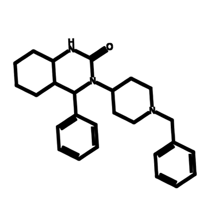 O=C1NC2CCCCC2C(c2ccccc2)N1C1CCN(Cc2ccccc2)CC1